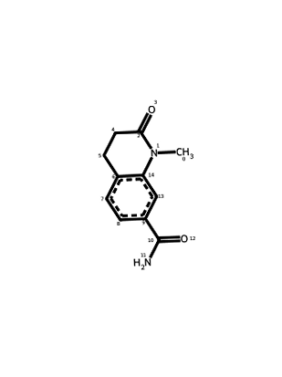 CN1C(=O)CCc2ccc(C(N)=O)cc21